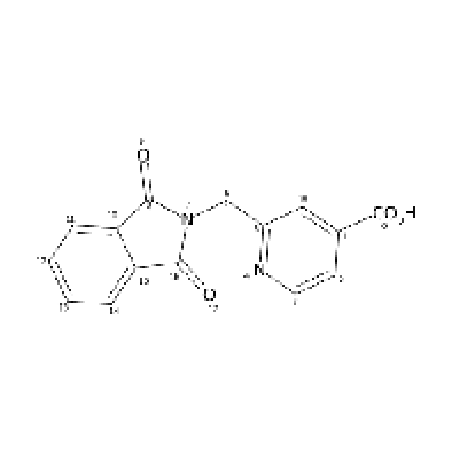 O=C(O)c1ccnc([CH]N2C(=O)c3ccccc3C2=O)c1